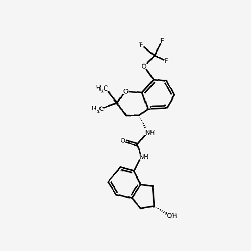 CC1(C)C[C@@H](NC(=O)Nc2cccc3c2C[C@H](O)C3)c2cccc(OC(F)(F)F)c2O1